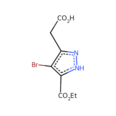 CCOC(=O)c1[nH]nc(CC(=O)O)c1Br